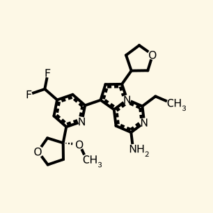 CCc1nc(N)cc2c(-c3cc(C(F)F)cc([C@@]4(OC)CCOC4)n3)cc(C3CCOC3)n12